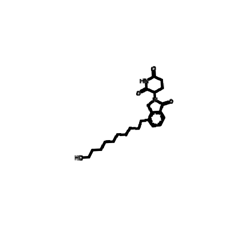 O=C1CCC(N2Cc3c(CCCCCCCCCCO)cccc3C2=O)C(=O)N1